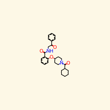 O=C(CNC(=O)c1ccccc1OC1CCN(C(=O)C2CCCCC2)CC1)c1ccccc1